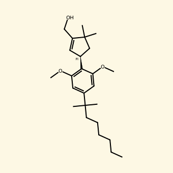 CCCCCCC(C)(C)c1cc(OC)c([C@H]2C=C(CO)C(C)(C)C2)c(OC)c1